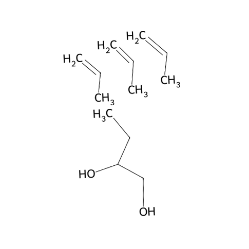 C=CC.C=CC.C=CC.CCC(O)CO